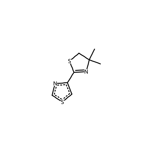 CC1(C)CSC(c2cscn2)=N1